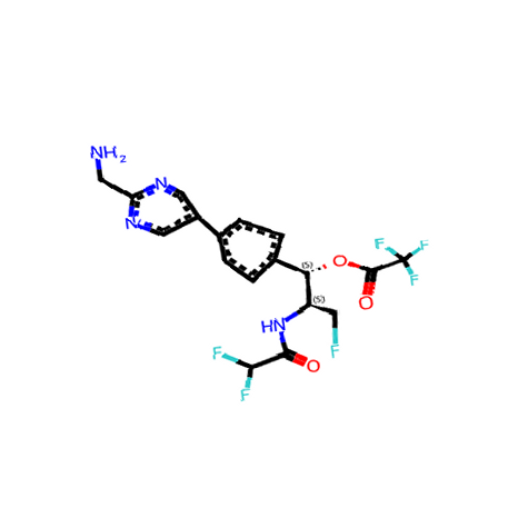 NCc1ncc(-c2ccc([C@H](OC(=O)C(F)(F)F)[C@@H](CF)NC(=O)C(F)F)cc2)cn1